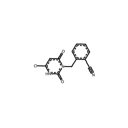 N#Cc1ccccc1Cn1c(=O)cc(Cl)[nH]c1=O